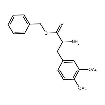 CC(=O)Oc1ccc(CC(N)C(=O)OCc2ccccc2)cc1OC(C)=O